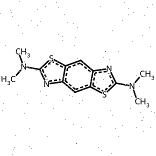 CN(C)c1nc2cc3sc(N(C)C)nc3cc2s1